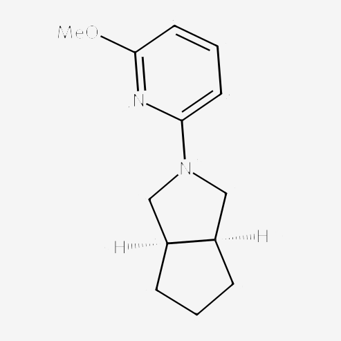 COc1cccc(N2C[C@H]3CCC[C@H]3C2)n1